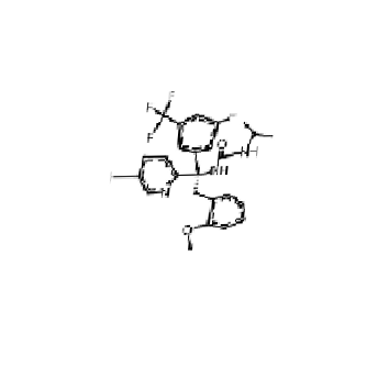 COc1ccccc1C[C@@](NC(=O)NC(C)C)(c1cc(F)cc(C(F)(F)F)c1)c1ccc(I)cn1